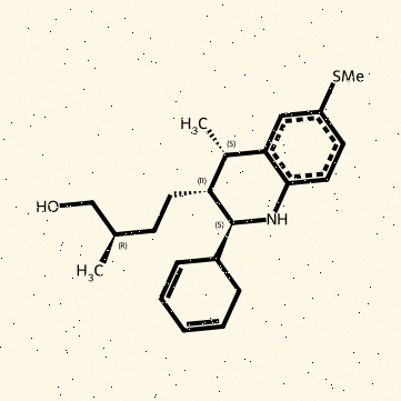 CSc1ccc2c(c1)[C@@H](C)[C@@H](CC[C@@H](C)CO)[C@H](C1C=CC=CC1)N2